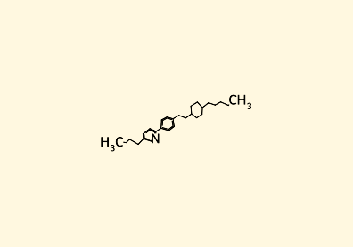 CCCCCC1CCC(CCc2ccc(-c3ccc(CCCC)cn3)cc2)CC1